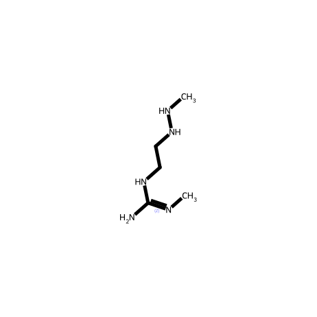 C/N=C(/N)NCCNNC